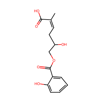 CC(=CCC(O)COC(=O)c1ccccc1O)C(=O)O